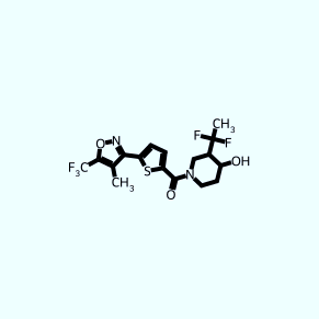 Cc1c(-c2ccc(C(=O)N3CCC(O)C(C(C)(F)F)C3)s2)noc1C(F)(F)F